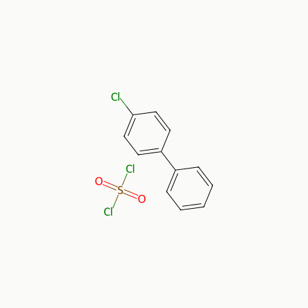 Clc1ccc(-c2ccccc2)cc1.O=S(=O)(Cl)Cl